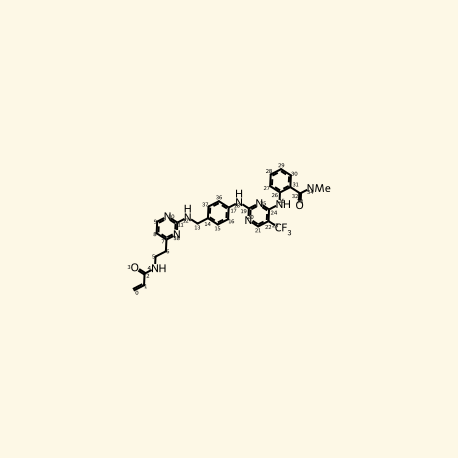 C=CC(=O)NCCc1ccnc(NCc2ccc(Nc3ncc(C(F)(F)F)c(Nc4ccccc4C(=O)NC)n3)cc2)n1